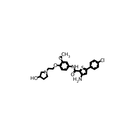 COc1cc(NC(=O)c2sc(-c3ccc(Cl)cc3)cc2N)ccc1OCCN1CCC(O)C1